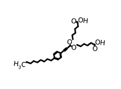 CCCCCCCCCc1ccc(C#CC(OCCCCCC(=O)O)OCCCCCC(=O)O)cc1